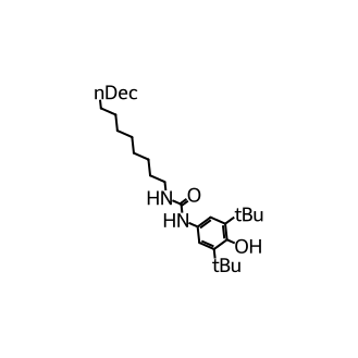 CCCCCCCCCCCCCCCCCCNC(=O)Nc1cc(C(C)(C)C)c(O)c(C(C)(C)C)c1